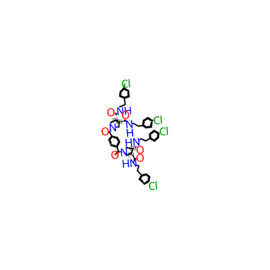 O=C(NCCc1ccc(Cl)cc1)[C@H]1CN(C(=O)c2ccc(C(=O)N3C[C@H](C(=O)NCCc4ccc(Cl)cc4)[C@@H](C(=O)NCCc4ccc(Cl)cc4)C3)cc2)C[C@@H]1C(=O)NCCc1ccc(Cl)cc1